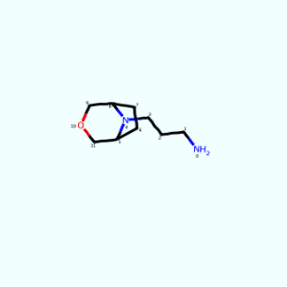 NCCCN1C2CCC1COC2